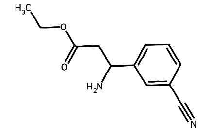 CCOC(=O)CC(N)c1cccc(C#N)c1